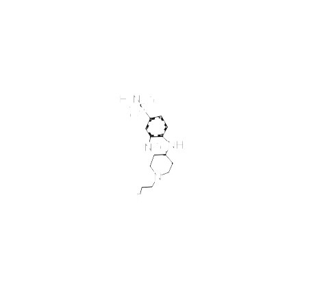 NS(=O)(=O)c1ccc(NC2CCN(CCF)CC2)c([N+](=O)[O-])c1